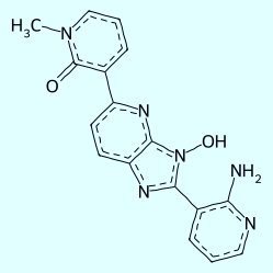 Cn1cccc(-c2ccc3nc(-c4cccnc4N)n(O)c3n2)c1=O